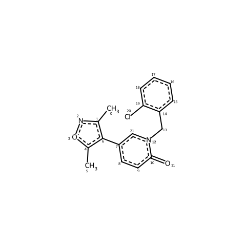 Cc1noc(C)c1-c1ccc(=O)n(Cc2ccccc2Cl)c1